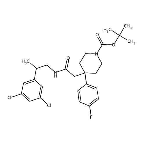 CC(CNC(=O)CC1(c2ccc(F)cc2)CCN(C(=O)OC(C)(C)C)CC1)c1cc(Cl)cc(Cl)c1